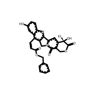 CC[C@@]1(O)C(=O)OCc2c1cc1n(c2=O)Cc2c-1nc1ccc(O)cc1c2/C=C\C(=O)OCc1ccccc1